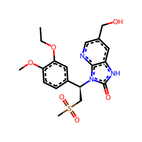 CCOc1cc([C@H](CS(C)(=O)=O)n2c(=O)[nH]c3cc(CO)cnc32)ccc1OC